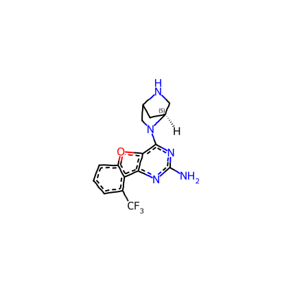 Nc1nc(N2CC3C[C@H]2CN3)c2oc3cccc(C(F)(F)F)c3c2n1